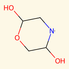 OC1COC(O)C[N]1